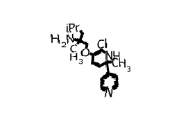 CC(C)CC(C)(N)COC1=C(Cl)NC(C)(c2ccncc2)C=C1